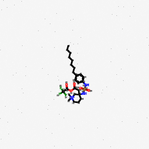 CCCCCCCCc1ccc(NS(=O)(=O)NC2(CC(=O)OC(=O)C(F)(F)F)CCC[N+](C)(C)C2)cc1